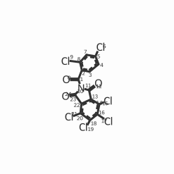 O=C(c1ccc(Cl)cc1Cl)N1C(=O)c2c(Cl)c(Cl)c(Cl)c(Cl)c2C1=O